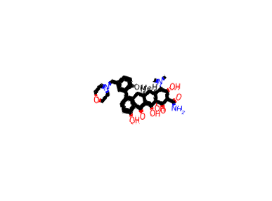 COc1ccc(CN2CCOCC2)cc1-c1ccc(O)c2c1C[C@H]1C[C@H]3[C@H](N(C)C)C(O)C(C(N)=O)C(=O)[C@@]3(O)C(O)=C1C2=O